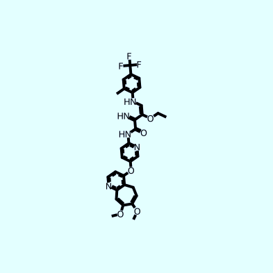 CCO/C(=C/Nc1ccc(C(F)(F)F)cc1C)C(=N)C(=O)Nc1ccc(Oc2ccnc3c2CC=C(OC)C(OC)=C3)cn1